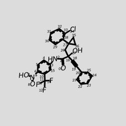 O=C(Nc1ccc([N+](=O)O)c(C(F)(F)F)c1)C(O)(C#Cc1ccccc1)CC1(c2ccccc2Cl)CC1